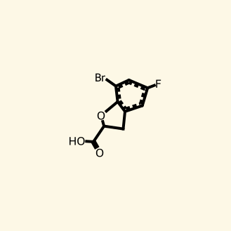 O=C(O)C1Cc2cc(F)cc(Br)c2O1